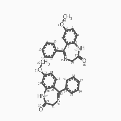 COc1ccc2c(c1)C(c1ccccc1)=NCC(=O)N2.COc1ccc2c(c1)NC(=O)CN=C2c1ccccc1